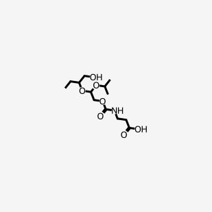 CCC(CO)OC(COC(=O)NCCC(=O)O)OC(C)C